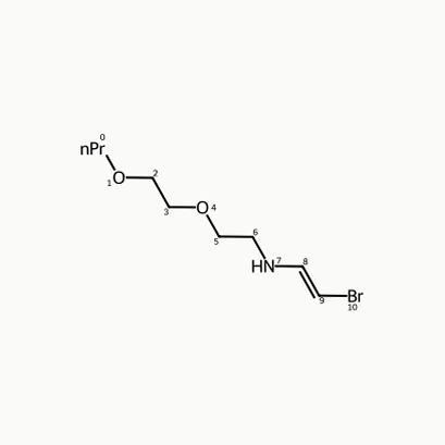 CCCOCCOCCN/C=C/Br